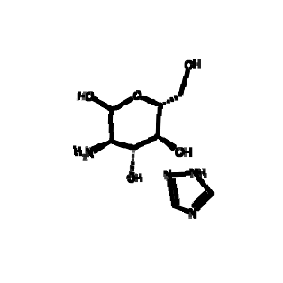 N[C@H]1C(O)O[C@H](CO)[C@@H](O)[C@@H]1O.c1nc[nH]n1